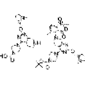 CN1CCC[C@H]1COc1nc2c(c(N3CCN(C(=O)O)CC3)n1)CCNC2.Cc1cc([N+](=O)[O-])c([N+](=O)[O-])c(N2CCc3c(nc(OC[C@@H]4CCCN4C)nc3N3CCN(C(=O)OC(C)(C)C)CC3)C2)c1C